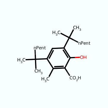 CCCCCC(C)(C)c1cc(C(C)(C)CCCCC)c(O)c(C(=O)O)c1C